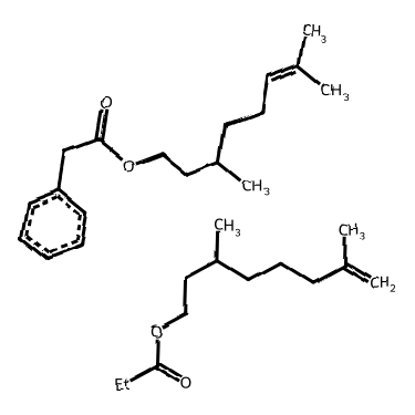 C=C(C)CCCC(C)CCOC(=O)CC.CC(C)=CCCC(C)CCOC(=O)Cc1ccccc1